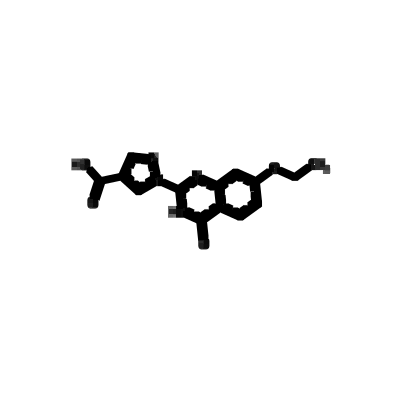 CCOc1ccc2c(=O)[nH]c(-n3cc(C(=O)O)cn3)nc2c1